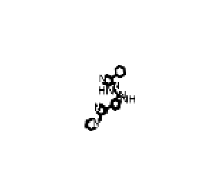 c1ncc(-c2ccc3[nH]nc(-c4nc5c(C6CCCCC6)cncc5[nH]4)c3c2)cc1CN1CCCCC1